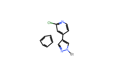 CCn1cc(-c2ccnc(Cl)c2)cn1.c1ccccc1